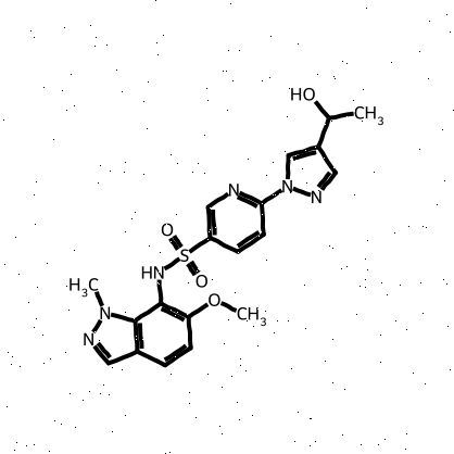 COc1ccc2cnn(C)c2c1NS(=O)(=O)c1ccc(-n2cc(C(C)O)cn2)nc1